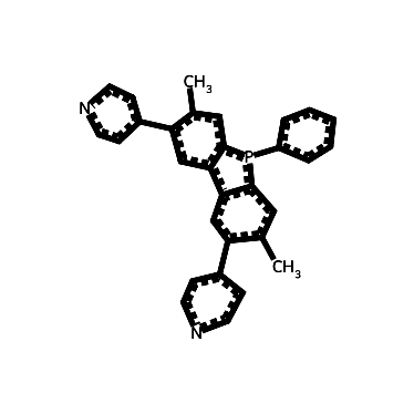 Cc1cc2c(cc1-c1ccncc1)c1cc(-c3ccncc3)c(C)cc1p2-c1ccccc1